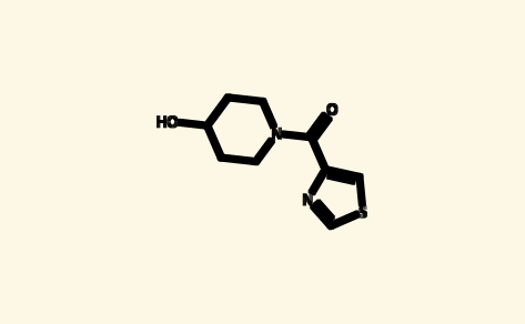 O=C(c1cscn1)N1CCC(O)CC1